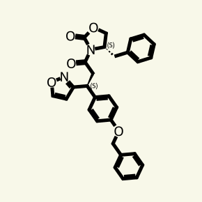 O=C(C[C@@H](c1ccc(OCc2ccccc2)cc1)c1ccon1)N1C(=O)OC[C@@H]1Cc1ccccc1